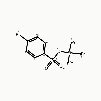 CCC[Si](CCC)(CCC)OS(=O)(=O)c1ccc(CC)cc1